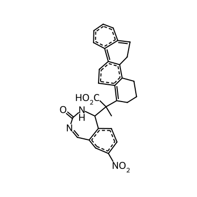 CC(C(=O)O)(C1=c2ccc3c(c2CCC1)CC=c1ccccc1=3)C1NC(=O)N=Cc2cc([N+](=O)[O-])ccc21